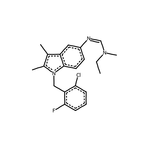 CCN(C)/C=N\c1ccc2c(c1)c(C)c(C)n2Cc1c(F)cccc1Cl